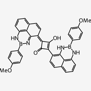 COc1ccc(B2N=c3/c(=C4\C(=O)C(c5ccc6cccc7c6c5NB(c5ccc(OC)cc5)N7)=C4O)ccc4cccc(c34)N2)cc1